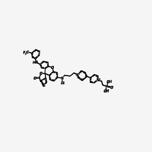 CCN(CCC[n+]1ccc(-c2cc[n+](CCP(=O)(O)O)cc2)cc1)c1ccc2c(c1)Oc1ccc(Nc3cccc(C(F)(F)F)c3)cc1C21OC(=O)c2ccccc21